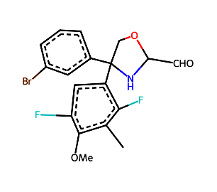 COc1c(F)cc(C2(c3cccc(Br)c3)COC(C=O)N2)c(F)c1C